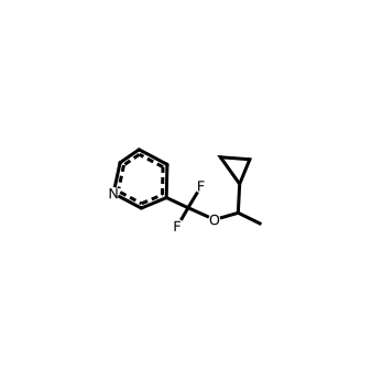 CC(OC(F)(F)c1cccnc1)C1CC1